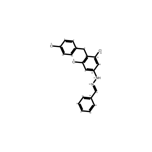 Clc1ccc(Cc2c(Cl)cc(NN=Cc3ccccc3)cc2Cl)cc1